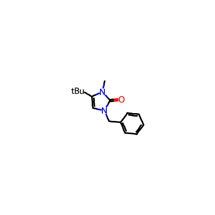 Cn1c(C(C)(C)C)cn(Cc2ccccc2)c1=O